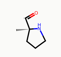 C[C@@]1([C]=O)CCCN1